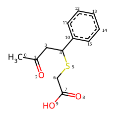 CC(=O)CC(SCC(=O)O)c1ccccc1